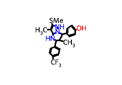 CSC1=C(C)C2NC(c3ccc(C(F)(F)F)cc3)C(C)C(c3ccc(O)cc3)N2N1